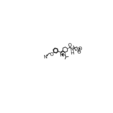 CC(C)n1nc(-c2cccc(OCC#N)c2)c2c1C[C@H](C(=O)NC1(C)CS(=O)(=O)C1)CC2